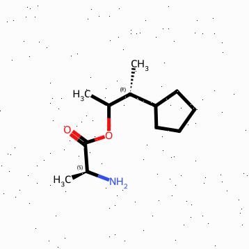 CC(OC(=O)[C@H](C)N)[C@H](C)C1CCCC1